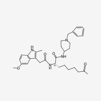 COc1ccc2[nH]c(C)c(CC(=O)N[C@@H](CCCCCC(C)=O)C(=O)NC3CCN(Cc4ccccc4)CC3)c2c1